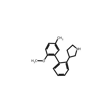 COc1ccc(C)cc1-c1ccccc1C1CCNC1